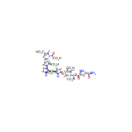 CC(C)C[C@@H](C(=O)O)N(C)CC(=O)C(=O)O.CC(C)C[C@@H](C(=O)O)N(C)CC(OC(=O)[C@@H](N)CCC(N)=O)C(=O)O.O=C(O)[C@@H]1CCCN1.O=C(O)[C@@H]1CCCN1.O=C1CC[C@@H](C(=O)O)N1